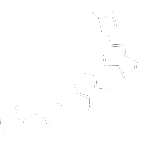 Cn1cc(-c2cn3nccc3c(-c3ccc(CNC(=O)c4nc(C(C)(C)C)no4)c(F)c3F)n2)cn1